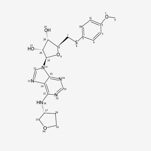 COc1ccc(SC[C@H]2O[C@@H](n3cnc4c(N[C@@H]5CCOC5)ncnc43)[C@H](O)[C@@H]2O)cc1